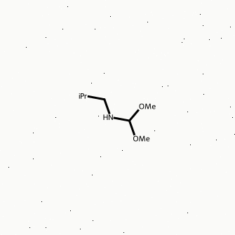 COC(NCC(C)C)OC